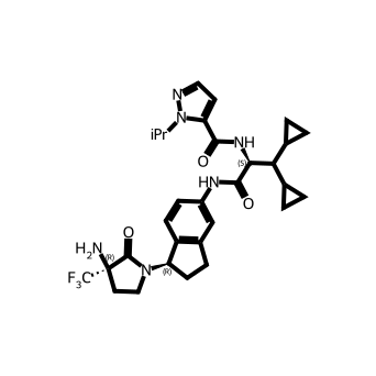 CC(C)n1nccc1C(=O)N[C@H](C(=O)Nc1ccc2c(c1)CC[C@H]2N1CC[C@](N)(C(F)(F)F)C1=O)C(C1CC1)C1CC1